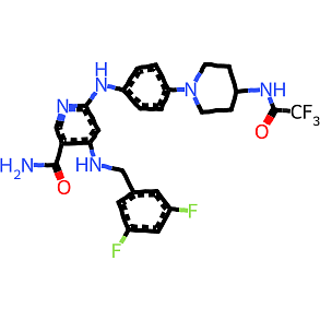 NC(=O)c1cnc(Nc2ccc(N3CCC(NC(=O)C(F)(F)F)CC3)cc2)cc1NCc1cc(F)cc(F)c1